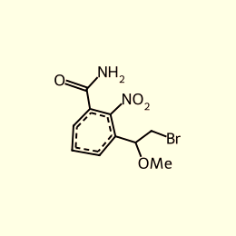 COC(CBr)c1cccc(C(N)=O)c1[N+](=O)[O-]